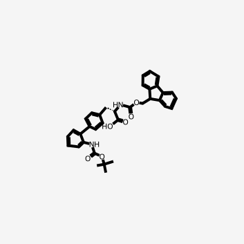 CC(C)(C)OC(=O)Nc1ccccc1-c1ccc(C[C@H](NC(=O)OCC2c3ccccc3-c3ccccc32)C(=O)O)cc1